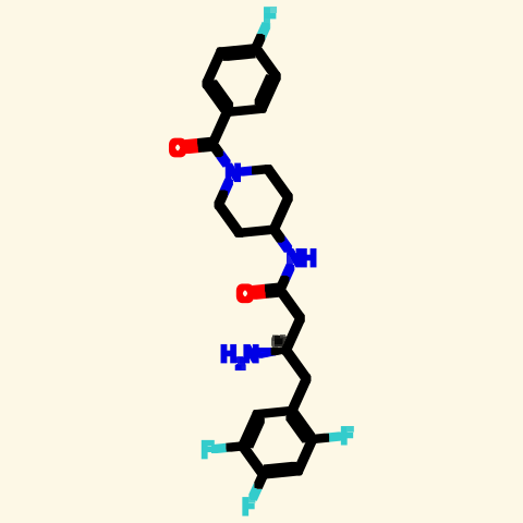 N[C@@H](CC(=O)NC1CCN(C(=O)c2ccc(F)cc2)CC1)Cc1cc(F)c(F)cc1F